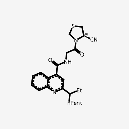 CCCCCC(CC)c1cc(C(=O)NCC(=O)N2CSC[C@H]2C#N)c2ccccc2n1